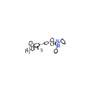 Cc1c(-c2ccc(-c3ccc4c(c3)-c3ccccc3C4(C)C)cc2)cccc1-c1cc(-c2ccccc2)nc(-c2ccccc2)n1